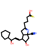 N#CC12CC(O)C(C=CC(O)C3CCCCC3)C1CC(CCCC(O)=S)=N2